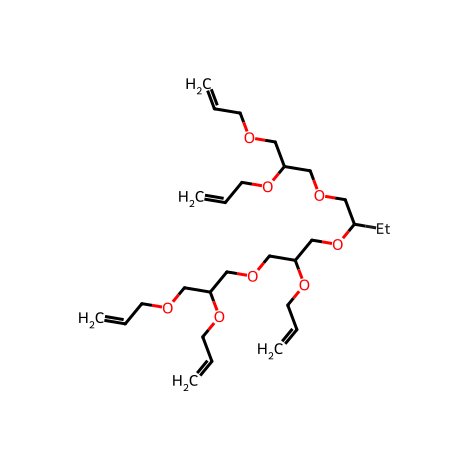 C=CCOCC(COCC(CC)OCC(COCC(COCC=C)OCC=C)OCC=C)OCC=C